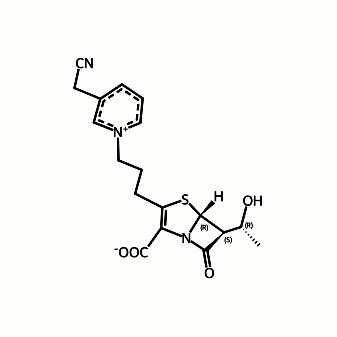 C[C@@H](O)[C@H]1C(=O)N2C(C(=O)[O-])=C(CCC[n+]3cccc(CC#N)c3)S[C@H]12